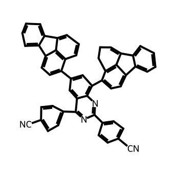 N#Cc1ccc(-c2nc(-c3ccc(C#N)cc3)c3cc(-c4ccc5c6c(cccc46)-c4ccccc4-5)cc(-c4ccc5c6c4CCC=C6c4ccccc4-5)c3n2)cc1